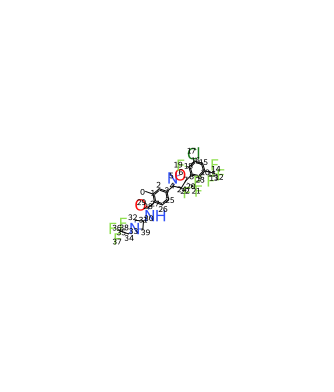 Cc1cc(C2=NO[C@](c3cc(C(F)(F)F)cc(Cl)c3F)(C(F)(F)F)C2)ccc1C(=O)NC1CN(CC(F)(F)F)C1